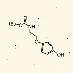 CC(C)(C)OC(=O)NCCOc1ccc(O)cc1